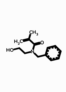 C=C(C)C(=O)N(CCO)Cc1ccccc1